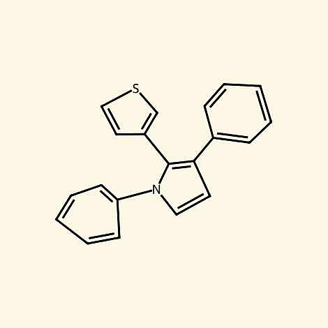 c1ccc(-c2ccn(-c3ccccc3)c2-c2ccsc2)cc1